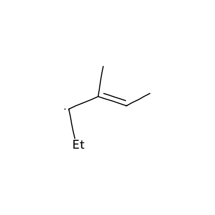 CC=C(C)[CH]CC